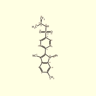 Cc1ccc2c(C#N)c(-c3ncc(S(=O)(=O)N[C@@H](C)C(F)(F)F)cn3)n(C(C)C)c2c1